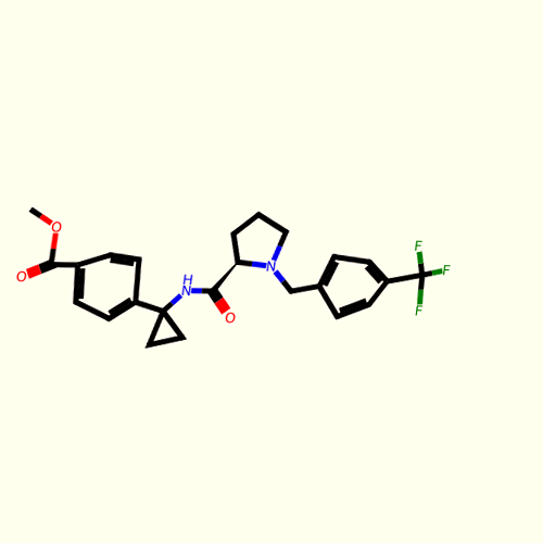 COC(=O)c1ccc(C2(NC(=O)[C@H]3CCCN3Cc3ccc(C(F)(F)F)cc3)CC2)cc1